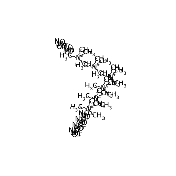 CCCC[N+](CCCC)(CCCC)CCCC.CCCC[N+](CCCC)(CCCC)CCCC.CCCC[N+](CCCC)(CCCC)CCCC.CCCC[N+](CCCC)(CCCC)CCCC.CCCC[N+](CCCC)(CCCC)CCCC.CCCC[N+](CCCC)(CCCC)CCCC.N#[C][Mn](=[O])(=[O])[O-].N#[C][Mn](=[O])(=[O])[O-].N#[C][Mn](=[O])(=[O])[O-].N#[C][Mn](=[O])(=[O])[O-].N#[C][Mn](=[O])(=[O])[O-].N#[C][Mn](=[O])(=[O])[O-]